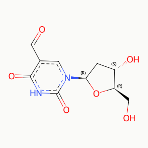 O=Cc1cn([C@H]2C[C@H](O)[C@@H](CO)O2)c(=O)[nH]c1=O